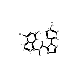 C[C@@H](c1ncnn1-c1ccc(C#N)cn1)N(C)c1ncnc2c(I)cc(C(F)(F)F)cc12